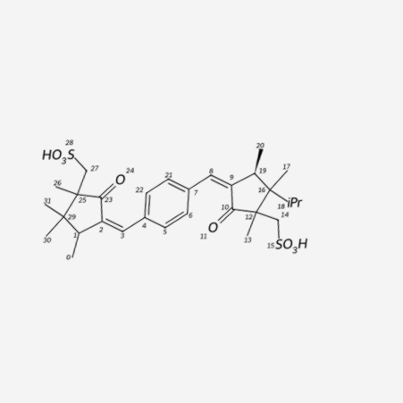 CC1/C(=C/c2ccc(/C=C3\C(=O)C(C)(CS(=O)(=O)O)C(C)(C(C)C)[C@@H]3C)cc2)C(=O)C(C)(CS(=O)(=O)O)C1(C)C